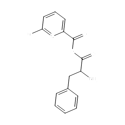 NC(Cc1ccccc1)C(=O)OC(=O)c1cccc(Br)n1